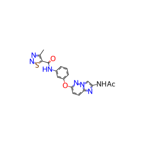 CC(=O)Nc1cn2nc(Oc3cccc(NC(=O)c4snnc4C)c3)ccc2n1